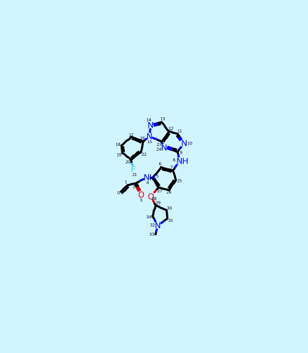 C=CC(=O)Nc1cc(Nc2ncc3cnn(-c4cccc(F)c4)c3n2)ccc1OC1CCN(C)C1